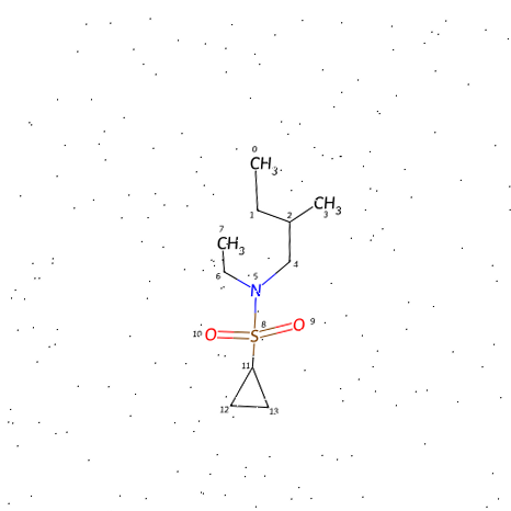 CCC(C)CN(CC)S(=O)(=O)C1CC1